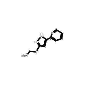 CNCOc1cc(-c2ccccn2)[nH]n1